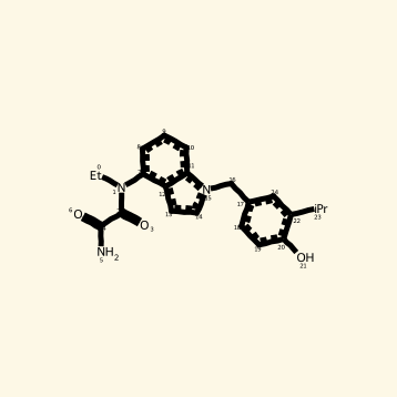 CCN(C(=O)C(N)=O)c1cccc2c1ccn2Cc1ccc(O)c(C(C)C)c1